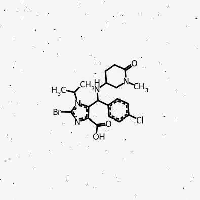 CC(C)n1c(Br)nc(C(=O)O)c1C(NC1CCC(=O)N(C)C1)c1ccc(Cl)cc1